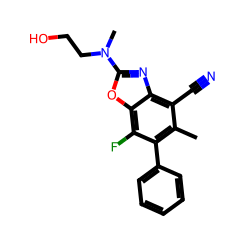 Cc1c(-c2ccccc2)c(F)c2oc(N(C)CCO)nc2c1C#N